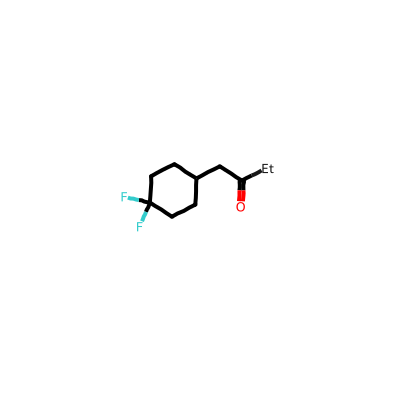 CCC(=O)CC1CCC(F)(F)CC1